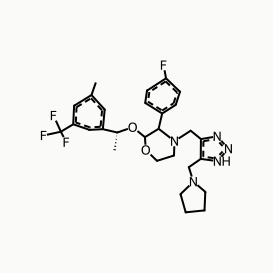 Cc1cc([C@@H](C)OC2OCCN(Cc3nn[nH]c3CN3CCCC3)C2c2ccc(F)cc2)cc(C(F)(F)F)c1